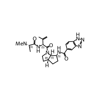 C=C(C)[C@H](NC(=O)[C@H](C)NC)C(=O)N1CC[C@H]2CC[C@H](NC(=O)c3ccc4[nH]nnc4c3)[C@H]21